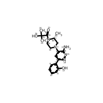 C[C@@H]1CN(c2cc(-c3ccccc3O)nnc2N)CCN1C(=O)C(C)(C)O